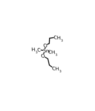 CCC[O][Sn]([CH3])([CH3])[O]CCC